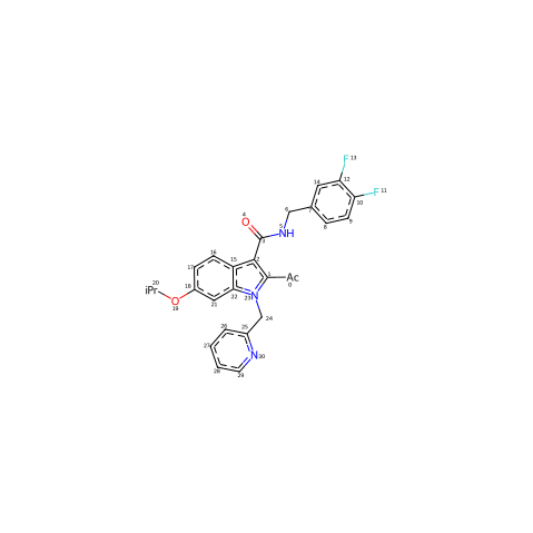 CC(=O)c1c(C(=O)NCc2ccc(F)c(F)c2)c2ccc(OC(C)C)cc2n1Cc1ccccn1